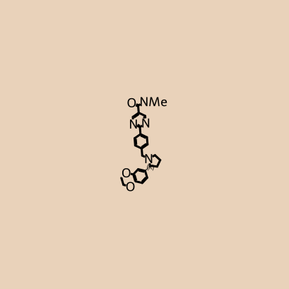 CNC(=O)c1cnc(-c2ccc(CN3CCC[C@@H]3c3ccc4c(c3)OCCO4)cc2)nc1